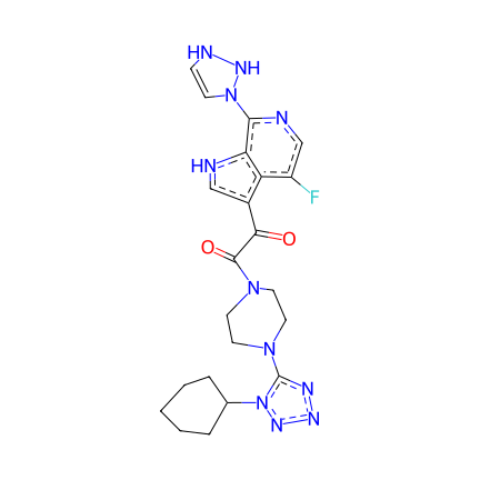 O=C(C(=O)N1CCN(c2nnnn2C2CCCCC2)CC1)c1c[nH]c2c(N3C=CNN3)ncc(F)c12